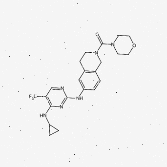 O=C(N1CCOCC1)N1CCc2cc(Nc3ncc(C(F)(F)F)c(NC4CC4)n3)ccc2C1